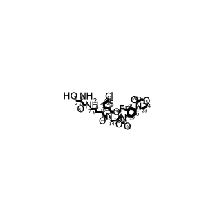 N[C@@H](CO)C(=O)NCCCCC(=O)N(C[C@H]1CN(c2ccc(N3CCOCC3=O)cc2F)C(=O)O1)C(=O)C1CC=C(Cl)S1